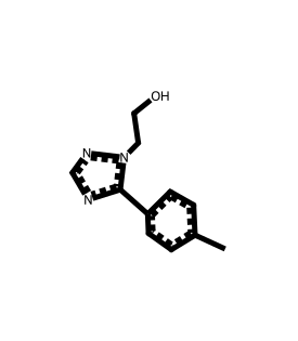 Cc1ccc(-c2ncnn2CCO)cc1